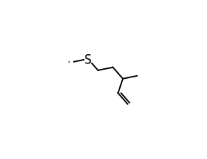 [CH2]SCCC(C)C=C